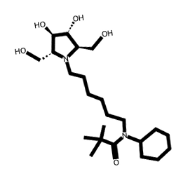 CC(C)(C)C(=O)N(CCCCCCN1[C@H](CO)[C@@H](O)[C@H](O)[C@H]1CO)C1CCCCC1